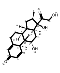 C[C@@H]1C[C@H]2[C@@H]3CCC4=CC(=O)C=C[C@]4(C)C3(F)[C@@H](O)C[C@]2(C)[C@@]1(O)C(=O)CO